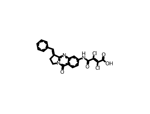 O=C(O)C(Cl)=C(Cl)C(=O)Nc1ccc2c(=O)n3c(nc2c1)C(=Cc1ccccc1)CC3